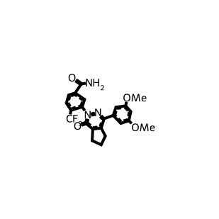 COc1cc(OC)cc(-c2nn(-c3cc(C(N)=O)ccc3C(F)(F)F)c(=O)c3c2CCC3)c1